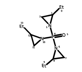 CCC1CN1P(=O)(N1CC1CC)N1CC1CC